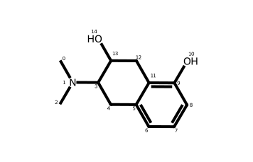 CN(C)C1Cc2cccc(O)c2CC1O